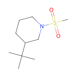 CC(C)(C)C1CCCN(S(C)(=O)=O)C1